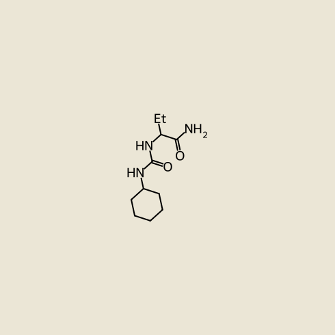 CCC(NC(=O)NC1CCCCC1)C(N)=O